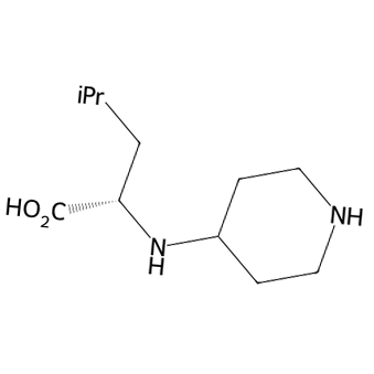 CC(C)C[C@H](NC1CCNCC1)C(=O)O